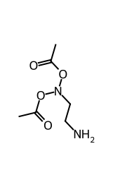 CC(=O)ON(CCN)OC(C)=O